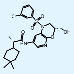 C[C@H](C(=O)Nc1cnc2c(c1)N(S(=O)(=O)c1cccc(Cl)c1)C[C@H](CO)O2)C1CCC(C)(C)CC1